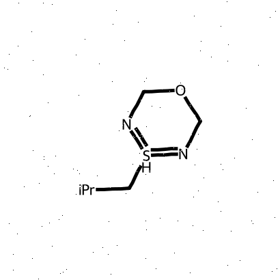 CC(C)C[SH]1=NCOCN=1